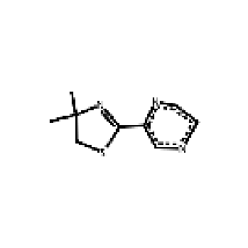 CC1(C)CSC(c2cnccn2)=N1